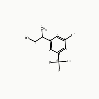 C[C](CO)c1cc(F)cc(C(F)(F)F)c1